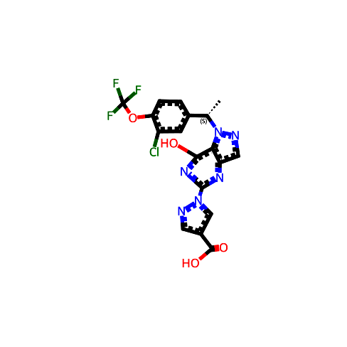 C[C@@H](c1ccc(OC(F)(F)F)c(Cl)c1)n1ncc2nc(-n3cc(C(=O)O)cn3)nc(O)c21